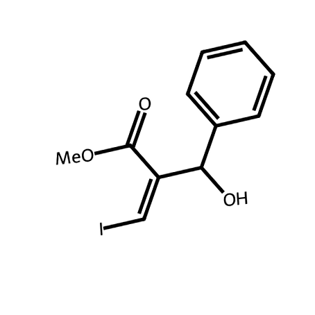 COC(=O)/C(=C\I)C(O)c1ccccc1